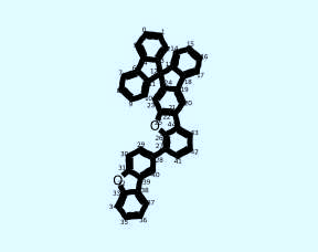 c1ccc2c(c1)-c1ccccc1C21c2ccccc2-c2cc3c(cc21)oc1c(-c2ccc4oc5ccccc5c4c2)cccc13